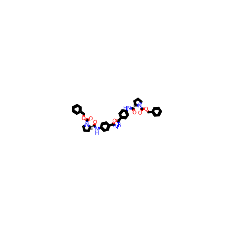 O=C(Nc1ccc(-c2nnc(-c3ccc(NC(=O)[C@@H]4CCCN4C(=O)OCc4ccccc4)cc3)o2)cc1)[C@@H]1CCCN1C(=O)OCc1ccccc1